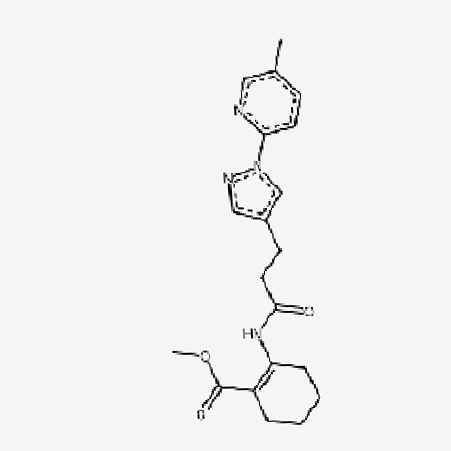 COC(=O)C1=C(NC(=O)CCc2cnn(-c3ccc(C)cn3)c2)CCCC1